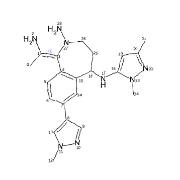 C/C(N)=C1\c2ccc(-c3cnn(C)c3)cc2C(Nc2cc(C)nn2C)CCN1N